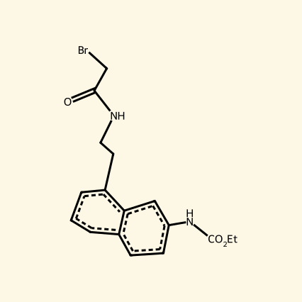 CCOC(=O)Nc1ccc2cccc(CCNC(=O)CBr)c2c1